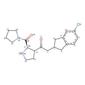 O=C(CC1Cc2ccc(Cl)cc2C1)C1CCN[C@H]1C(=O)N1CCCC1